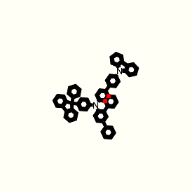 c1ccc(-c2ccc(N(c3ccc(-c4ccc(-n5c6ccccc6c6ccccc65)cc4)cc3)c3ccc(C4(c5ccccc5)c5ccccc5-c5ccccc54)cc3)c(-c3ccccc3)c2)cc1